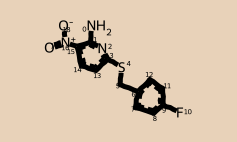 Nc1nc(SCc2ccc(F)cc2)ccc1[N+](=O)[O-]